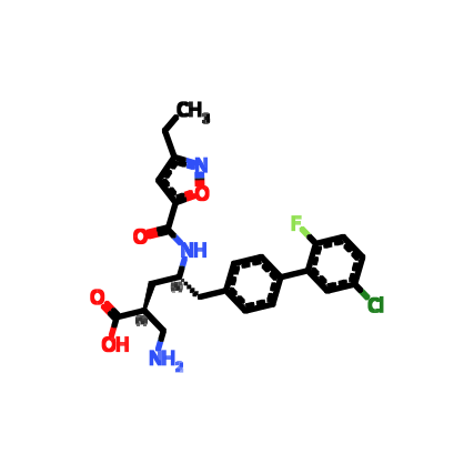 CCc1cc(C(=O)N[C@H](Cc2ccc(-c3cc(Cl)ccc3F)cc2)C[C@@H](CN)C(=O)O)on1